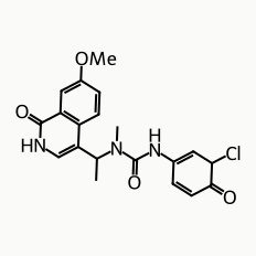 COc1ccc2c(C(C)N(C)C(=O)NC3=CC(Cl)C(=O)C=C3)c[nH]c(=O)c2c1